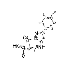 Cc1ccc(-c2cc3[nH]cc(C(=O)O)c(=O)n3n2)cc1